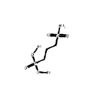 CCOP(=O)(CCCS(N)(=O)=O)OCC